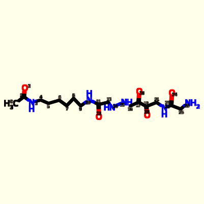 CC(=O)NCCCCCCNC(=O)CNNCC(=O)C(=O)CNC(=O)CN